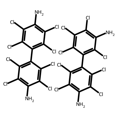 Nc1c(Cl)c(Cl)c(-c2c(Cl)c(Cl)c(N)c(Cl)c2Cl)c(Cl)c1Cl.Nc1c(Cl)c(Cl)c(-c2c(Cl)c(N)c(Cl)c(Cl)c2Cl)c(Cl)c1Cl